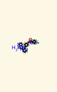 Nc1ncccc1-c1nc2cccnc2n1-c1ccc(CNC(=O)c2ccc(F)cc2)cc1